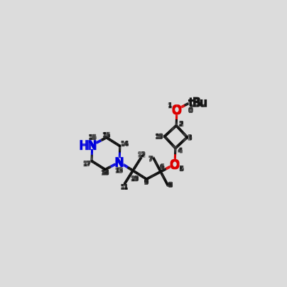 CC(C)(C)OC1CC(OC(C)(C)CC(C)(C)N2CCNCC2)C1